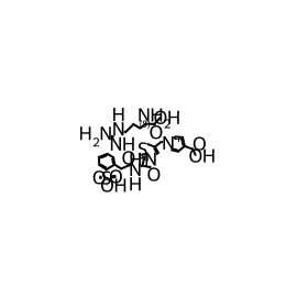 N=C(N)NCCC[C@H](N)C(=O)O.O=C(Cc1ccccc1S(=O)(=O)O)NC1C(=O)N2C=C(C[n+]3ccc(C(=O)O)cc3)CS[C@H]12